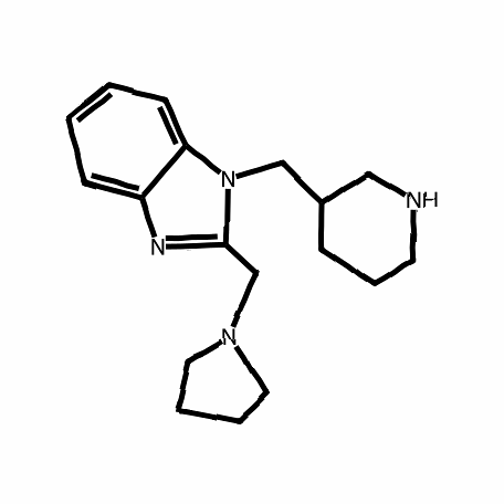 c1ccc2c(c1)nc(CN1CCCC1)n2CC1CCCNC1